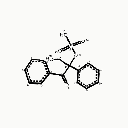 O=C(c1ccccc1)C(CO)(OS(=O)(=O)O)c1ccccc1